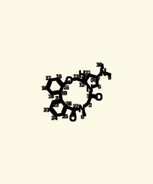 CN1CC(=O)N2C[C@H](N(C)C)C[C@H]2COc2ccccc2-c2ccccc2C1=O